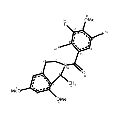 COc1cc2c(c(OC)c1)C(C)N(C(=O)c1cc(F)c(OC)c(F)c1F)CC2